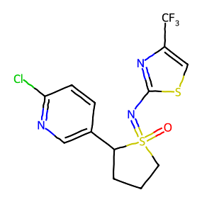 O=S1(=Nc2nc(C(F)(F)F)cs2)CCCC1c1ccc(Cl)nc1